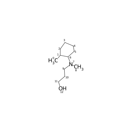 CC1CCCCC1N(C)CCCO